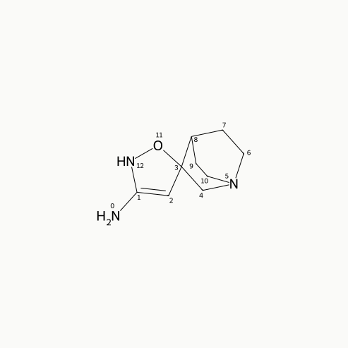 NC1=CC2(CN3CCC2CC3)ON1